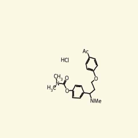 CNC(CCOc1ccc(C(C)=O)cc1)c1ccc(OC(=O)N(C)C)cc1.Cl